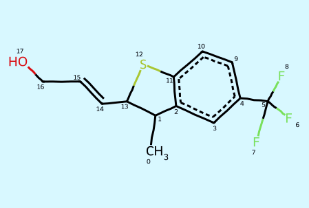 CC1c2cc(C(F)(F)F)ccc2SC1/C=C/CO